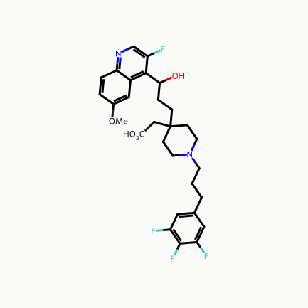 COc1ccc2ncc(F)c(C(O)CCC3(CC(=O)O)CCN(CCCc4cc(F)c(F)c(F)c4)CC3)c2c1